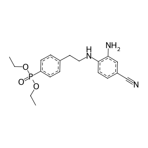 CCOP(=O)(OCC)c1ccc(CCNc2ccc(C#N)cc2N)cc1